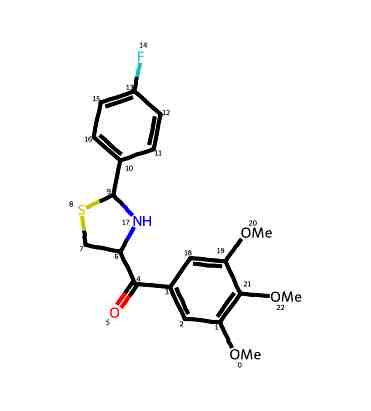 COc1cc(C(=O)C2CSC(c3ccc(F)cc3)N2)cc(OC)c1OC